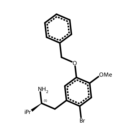 COc1cc(Br)c(C[C@H](N)C(C)C)cc1OCc1ccccc1